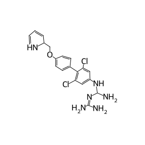 NC(N)=NC(N)Nc1cc(Cl)c(-c2ccc(OCC3C=CC=CN3)cc2)c(Cl)c1